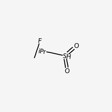 CC(C)[SH](=O)=O.CF